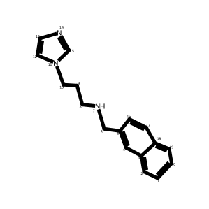 c1ccc2cc(CNCCCn3ccnc3)ccc2c1